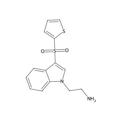 NCCn1cc(S(=O)(=O)c2cccs2)c2ccccc21